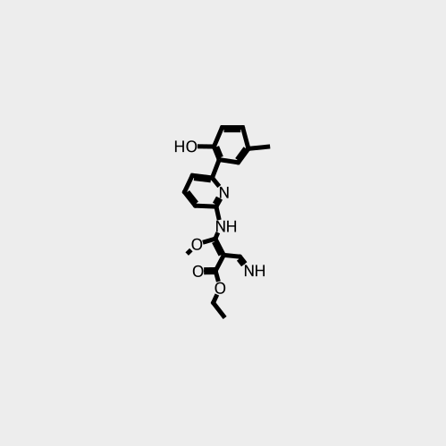 CCOC(=O)/C(C=N)=C(/Nc1cccc(-c2cc(C)ccc2O)n1)OC